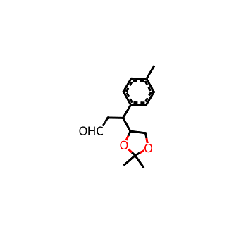 Cc1ccc(C(CC=O)C2COC(C)(C)O2)cc1